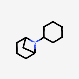 [CH]1CCCC(N2C3CCCC2C3)C1